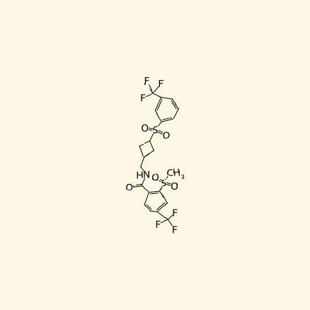 CS(=O)(=O)c1cc(C(F)(F)F)ccc1C(=O)NCC1CC(S(=O)(=O)c2cccc(C(F)(F)F)c2)C1